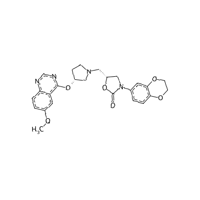 COc1ccc2ncnc(O[C@@H]3CCN(C[C@@H]4CN(c5ccc6c(c5)OCCO6)C(=O)O4)C3)c2c1